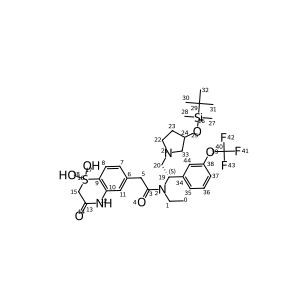 CCN(C(=O)Cc1ccc2c(c1)NC(=O)CS2(O)O)[C@H](CN1CCC(O[Si](C)(C)C(C)(C)C)C1)c1cccc(OC(F)(F)F)c1